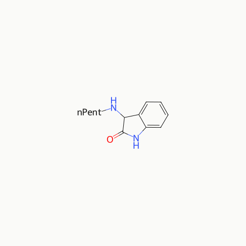 CCCCCNC1C(=O)Nc2ccccc21